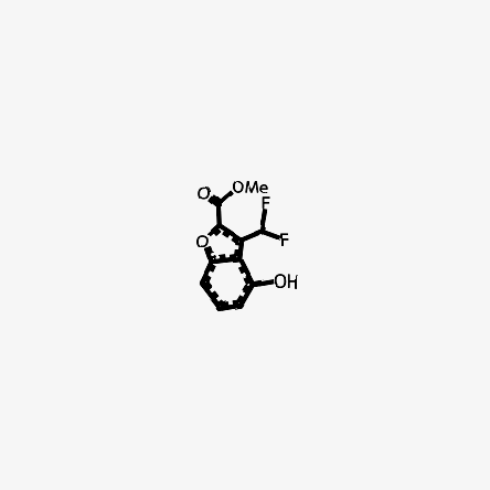 COC(=O)c1oc2cccc(O)c2c1C(F)F